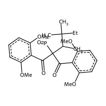 CCC(C)(C)C(C)C(P=O)(C(=O)c1c(OC)cccc1OC)C(=O)c1c(OC)cccc1OC